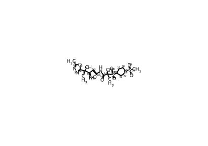 Cc1nnc(C(C)(C)c2cc(NC(=O)C(C)(C)S(=O)(=O)C3CCN(S(C)(=O)=O)CC3)on2)o1